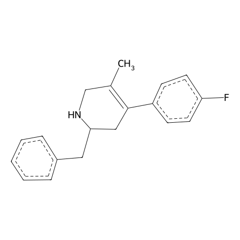 CC1=C(c2ccc(F)cc2)CC(Cc2ccccc2)NC1